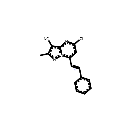 Cc1nn2c(/C=C/c3ccccc3)cc(Cl)nc2c1C#N